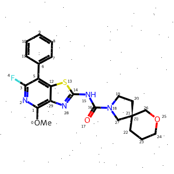 COc1nc(F)c(-c2ccccc2)c2sc(NC(=O)N3CC[C@@]4(CCCOC4)C3)nc12